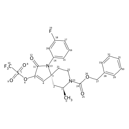 C[C@H]1C[C@@]2(C=C(OS(=O)(=O)C(F)(F)F)C(=O)N2c2cccc(F)c2)CCN1C(=O)OCc1ccccc1